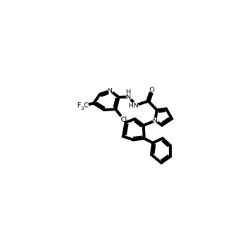 O=C(NNc1ncc(C(F)(F)F)cc1Cl)c1cccn1-c1ccccc1-c1ccccc1